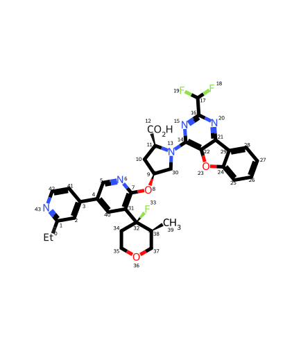 CCc1cc(-c2cnc(O[C@H]3C[C@@H](C(=O)O)N(c4nc(C(F)F)nc5c4oc4ccccc45)C3)c([C@@]3(F)CCOC[C@@H]3C)c2)ccn1